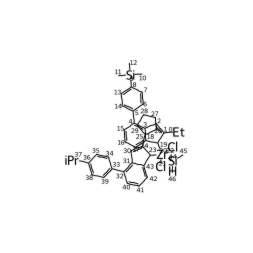 CCC1=Cc2c(-c3ccc([Si](C)(C)C)cc3)cccc2[CH]1[Zr]([Cl])([Cl])([CH]1C(C2CCCC2)=Cc2c(-c3ccc(C(C)C)cc3)cccc21)[SiH](C)C